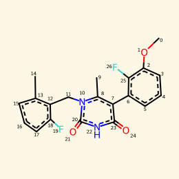 COc1cccc(-c2c(C)n(Cc3c(C)cccc3F)c(=O)[nH]c2=O)c1F